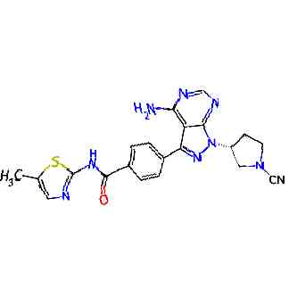 Cc1cnc(NC(=O)c2ccc(-c3nn([C@@H]4CCN(C#N)C4)c4ncnc(N)c34)cc2)s1